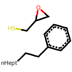 CCCCCCCCCc1ccccc1.SCC1CO1